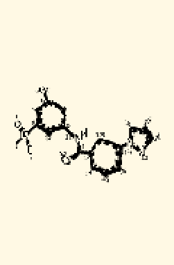 CS(=O)(=O)c1cc(Br)cc(NC(=O)c2cccc(-n3cccn3)c2)c1